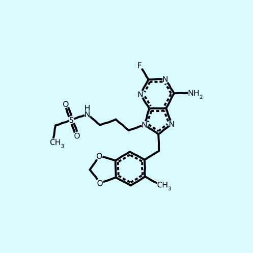 CCS(=O)(=O)NCCCn1c(Cc2cc3c(cc2C)OCO3)nc2c(N)nc(F)nc21